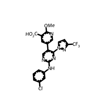 COc1ncc(-c2cnc(Nc3cccc(Cl)c3)nc2-n2ccc(C(F)(F)F)n2)cc1C(=O)O